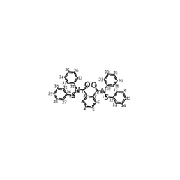 O=C(c1ccccc1C(=O)N(Sc1ccccc1)c1ccccc1)N(Sc1ccccc1)c1ccccc1